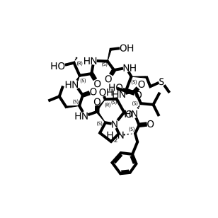 CSCC[C@H](NC(=O)[C@H](CO)NC(=O)[C@@H](NC(=O)[C@H](CC(C)C)NC(=O)[C@@H]1CCCN1C(=O)[C@@H](NC(=O)[C@@H](NC(=O)[C@@H](N)Cc1ccccc1)C(C)C)[C@@H](C)O)[C@@H](C)O)C(=O)O